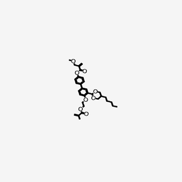 C=C(C)C(=O)OCCOc1ccc(-c2ccc(OC(=O)C(=C)COC)cc2)cc1C1OCC(CCCCC)CO1